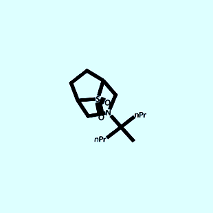 CCCC(C)(CCC)N1CC2CCC(C1)S2(=O)=O